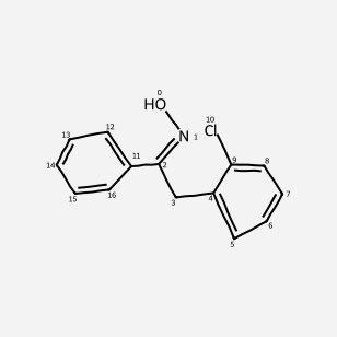 ON=C(Cc1ccccc1Cl)c1ccccc1